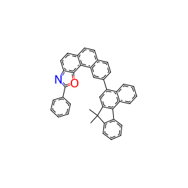 CC1(C)c2ccccc2-c2c1cc(-c1ccc3ccc4ccc5nc(-c6ccccc6)oc5c4c3c1)c1ccccc21